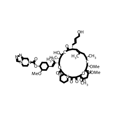 CO[C@H]1C[C@@H](C)C/C(C)=C/[C@@H](C/C=C/CO)C(=O)C[C@H](O)[C@@H](C)[C@@H](/C(C)=C/[C@@H]2CC[C@@H](OC(=O)N3CCn4cnnc4C3)[C@H](OC)C2)OC(=O)[C@@H]2CCCCN2C(=O)C(=O)[C@]2(O)O[C@H]1[C@@H](OC)C[C@H]2C